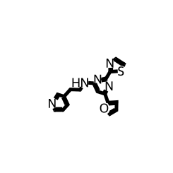 c1cncc(CCNc2cc(-c3ccco3)nc(-c3nccs3)n2)c1